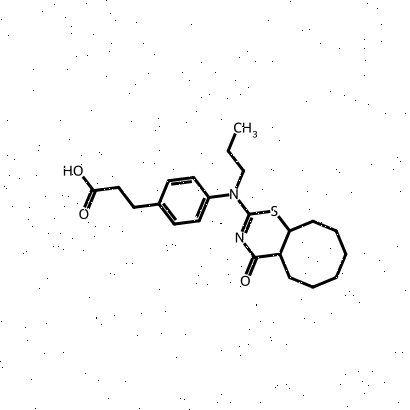 CCCN(C1=NC(=O)C2CCCCCCC2S1)c1ccc(CCC(=O)O)cc1